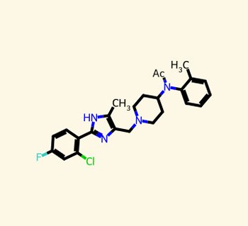 CC(=O)N(c1ccccc1C)C1CCN(Cc2nc(-c3ccc(F)cc3Cl)[nH]c2C)CC1